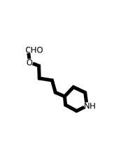 O=COCCCCC1CCNCC1